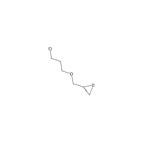 ClCCCOCC1CO1